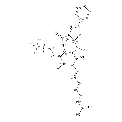 CN/C(=N/O[Si](C)(C)C(C)(C)C)[C@@H]1c2c(cnn2CC=NOCCNC(=O)O)[C@@H]2CN1C(=O)N2OCc1ccccc1